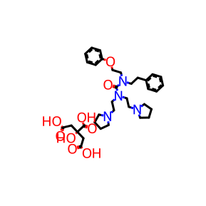 O=C(N(CCOc1ccccc1)CCc1ccccc1)N(CCN1CCCC1)CCN1CCCC1.O=C(O)CC(O)(CC(=O)O)C(=O)O